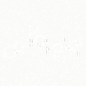 CN1C[C@H]2C[C@@H]1CN2c1ccc(Nc2ncc(C(F)(F)F)c(NCCCN3CCOCCC3=O)n2)c(Cl)c1